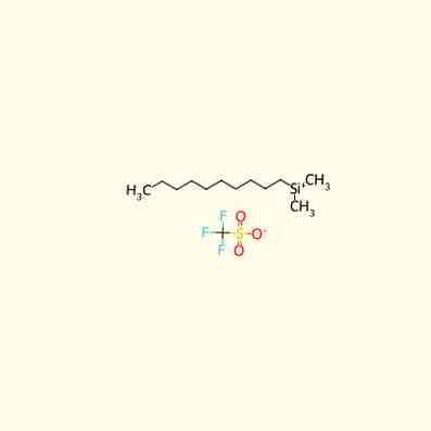 CCCCCCCCCC[Si+](C)C.O=S(=O)([O-])C(F)(F)F